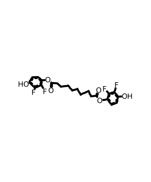 O=C(CCCCCCCCC(=O)Oc1ccc(O)c(F)c1F)Oc1ccc(O)c(F)c1F